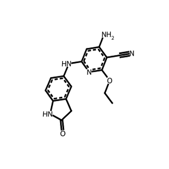 CCOc1nc(Nc2ccc3c(c2)CC(=O)N3)cc(N)c1C#N